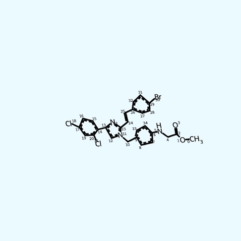 COC(=O)CNc1ccc(Cn2cc(-c3ccc(Cl)cc3Cl)nc2C=Cc2ccc(Br)cc2)cc1